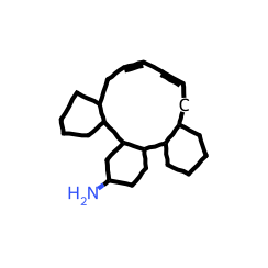 NC1CCC2C3CCCCC3C/C=C\C=C/CC3CCCCC3C2C1